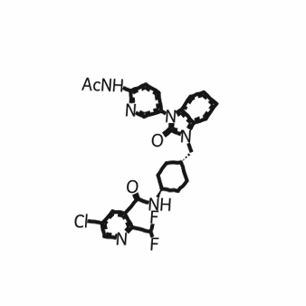 CC(=O)Nc1ccc(-n2c(=O)n(C[C@H]3CC[C@H](NC(=O)c4cc(Cl)cnc4C(F)F)CC3)c3ccccc32)cn1